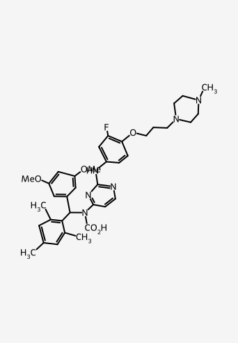 COc1cc(OC)cc(C(c2c(C)cc(C)cc2C)N(C(=O)O)c2ccnc(Nc3ccc(OCCCN4CCN(C)CC4)c(F)c3)n2)c1